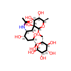 CC(=O)N[C@@H]1[C@H]([C@@]2(O)[C@H](OC[C@H]3O[C@H](O)[C@@H](O)[C@@H](O)[C@@H]3O)O[C@H](C)[C@@H](O)[C@@H]2O)O[C@H](CO)C[C@@H]1O